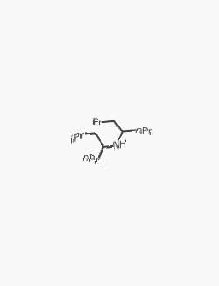 CCCC(CC(C)C)NC(CCC)CC(C)C